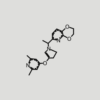 Cc1cc(OC2=CN(C(C)c3ccc4c(n3)OCCO4)CC2)cc(C)n1